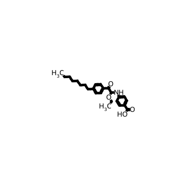 CCCCCCCCc1ccc(C(=O)C(Nc2ccc(C(=O)O)cc2)OCC)cc1